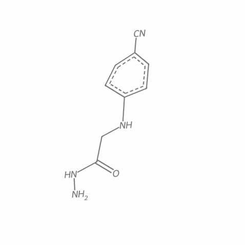 N#Cc1ccc(NCC(=O)NN)cc1